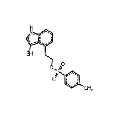 Cc1ccc(S(=O)(=O)OCCc2cccc3[nH]cc(S)c23)cc1